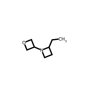 CCC1CCN1C1COC1